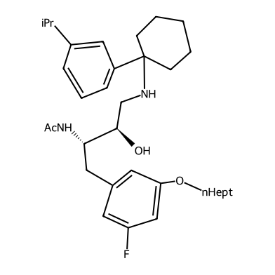 CCCCCCCOc1cc(F)cc(C[C@H](NC(C)=O)[C@H](O)CNC2(c3cccc(C(C)C)c3)CCCCC2)c1